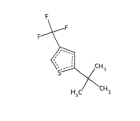 CC(C)(C)c1cc(C(F)(F)F)cs1